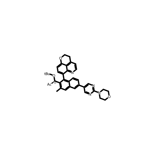 CC(=O)[C@@H](OC(C)(C)C)c1c(C)cc2cc(-c3cnc(N4CCOCC4)nc3)ccc2c1-c1ccc2c3c(ccnc13)CCO2